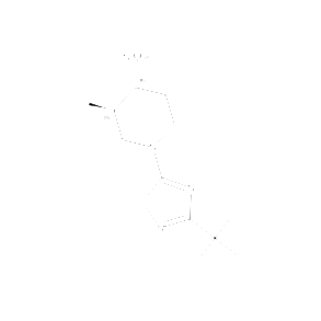 CN[C@@H]1CCN(c2nc(C(C)(F)F)no2)C[C@H]1F